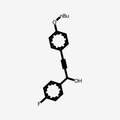 CCCCOc1ccc(C#CC(O)c2ccc(F)cc2)cc1